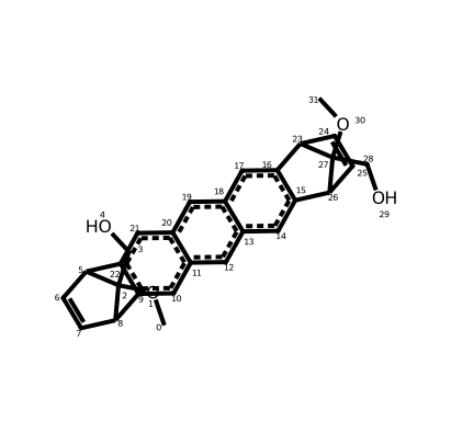 COC1(CO)C2C=CC1c1cc3cc4cc5c(cc4cc3cc12)C1C=CC5C1(CO)OC